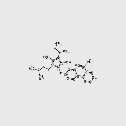 CCC(C)n1c(C)c(CCC(C)C)n(Cc2ccc(-c3ccccc3C(=O)O)cc2)c1=O